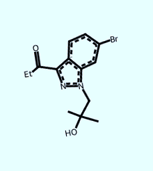 CCC(=O)c1nn(CC(C)(C)O)c2cc(Br)ccc12